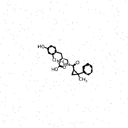 CC1(c2ccccc2)CC1C(=O)NC[C@H](Cc1ccc(O)cc1Cl)NC(=O)O